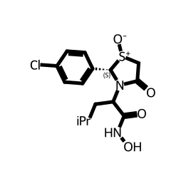 CC(C)CC(C(=O)NO)N1C(=O)C[S+]([O-])[C@H]1c1ccc(Cl)cc1